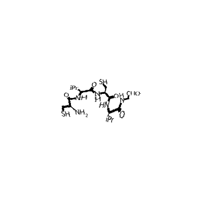 CC(C)[C@H](NC(=O)[C@H](CS)NC(=O)[C@@H](NC(=O)[C@@H](N)CS)C(C)C)C(=O)NC[C]=O